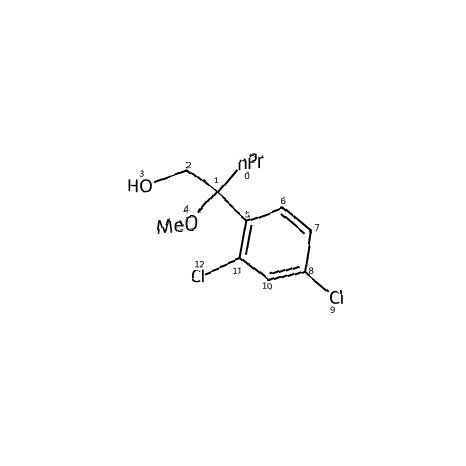 CCCC(CO)(OC)c1ccc(Cl)cc1Cl